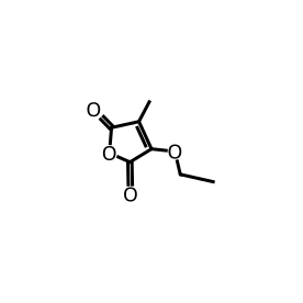 CCOC1=C(C)C(=O)OC1=O